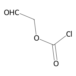 O=CCOC(=O)Cl